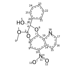 COC(=O)[C@](O)(Oc1ccc([N+](=O)[O-])c2cccnc12)c1ccccc1